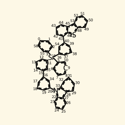 c1ccc([Si](c2ccccc2)(c2cccc(-c3cccc(-n4c5ccccc5c5ccccc54)c3)c2)c2cccc(-c3cccc4c3sc3ccccc34)c2)cc1